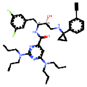 C#Cc1cccc(C2(NC[C@@H](O)[C@H](Cc3cc(F)cc(F)c3)NC(=O)c3cc(N(CCC)CCC)nc(N(CCC)CCC)n3)CC2)c1